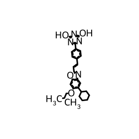 CC(C)COc1cc2oc(C=Cc3ccc(-c4nc(O)nc(O)n4)cc3)nc2cc1C1CCCCC1